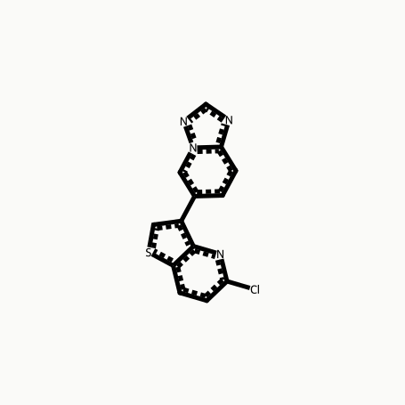 Clc1ccc2scc(-c3ccc4ncnn4c3)c2n1